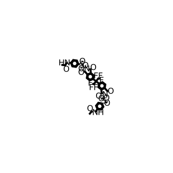 CC(=O)Nc1ccc(S(=O)(=O)ON2C(=O)c3ccc(C(c4ccc5c(c4)C(=O)N(OS(=O)(=O)c4ccc(NC(C)=O)cc4)C5=O)(C(F)(F)F)C(F)(F)F)cc3C2=O)cc1